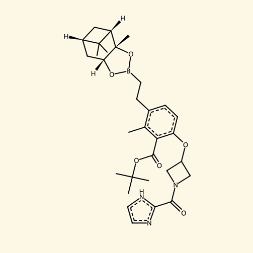 Cc1c(CCB2O[C@@H]3C[C@@H]4C[C@@H](C4(C)C)[C@]3(C)O2)ccc(OC2CN(C(=O)c3ncc[nH]3)C2)c1C(=O)OC(C)(C)C